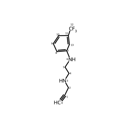 C#CCNCCNc1cccc(C(F)(F)F)c1